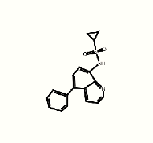 O=S(=O)(Nc1ccc(-c2ccccc2)c2cccnc12)C1CC1